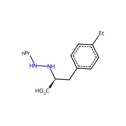 CCCNN[C@@H](Cc1ccc(CC)cc1)C(=O)O